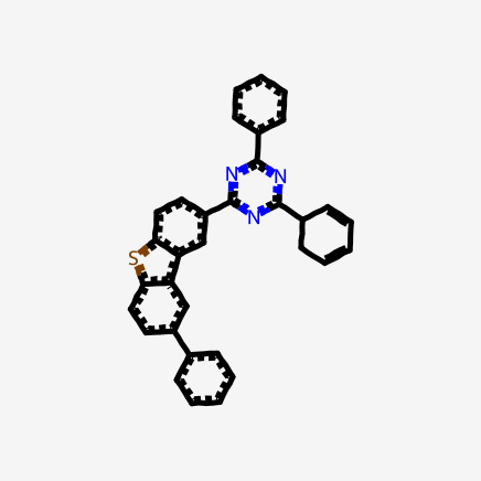 C1=CCC(c2nc(-c3ccccc3)nc(-c3ccc4sc5ccc(-c6ccccc6)cc5c4c3)n2)C=C1